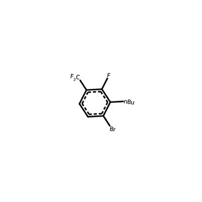 CCCCc1c(Br)ccc(C(F)(F)F)c1F